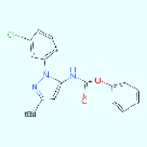 CC(C)(C)c1cc(NC(=O)Oc2ccccc2)n(-c2cccc(Cl)c2)n1